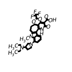 CCN(CC)C1CCN(c2cccc3c4c(n(C)c23)CCCc2c-4[nH]c(=O)c(C(=O)O)c2OC(=O)C(F)(F)F)C1